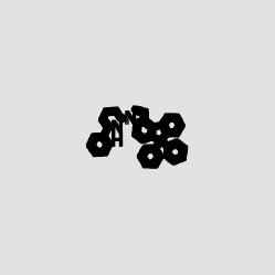 C1=CC(n2ccc3c4c(ccc32)C(c2ccccc2)(c2ccccc2)c2ccccc2-4)NC(c2ccccc2)=C1